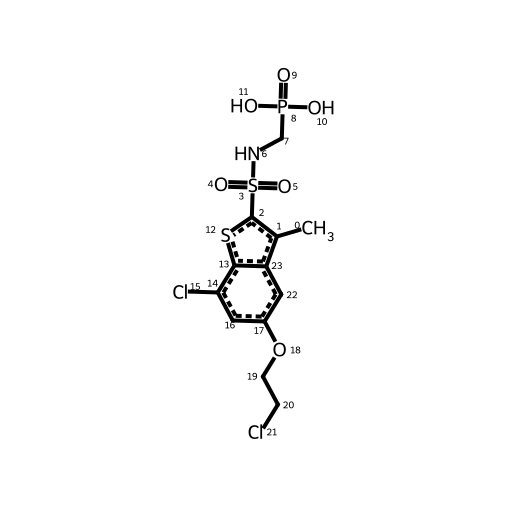 Cc1c(S(=O)(=O)NCP(=O)(O)O)sc2c(Cl)cc(OCCCl)cc12